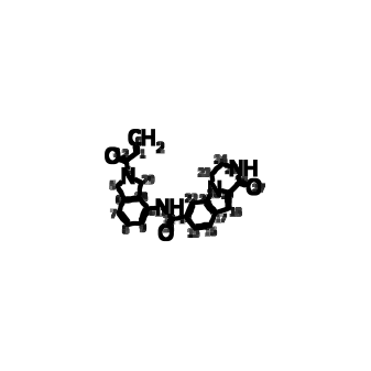 C=CC(=O)N1Cc2cccc(NC(=O)c3ccc4cc5n(c4c3)CCNC5=O)c2C1